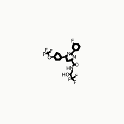 O=C(NC[C@H](O)C(F)(F)F)c1cc(-c2ccc(OC(F)(F)F)cc2)nc(-c2cccc(F)c2)n1